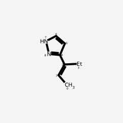 C/C=C(\CC)c1cc[nH]n1